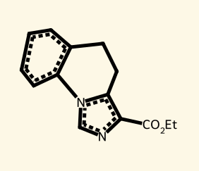 CCOC(=O)c1ncn2c1CCc1ccccc1-2